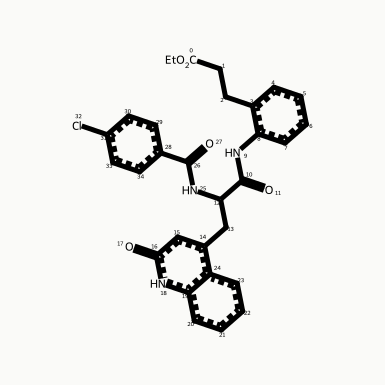 CCOC(=O)CCc1ccccc1NC(=O)C(Cc1cc(=O)[nH]c2ccccc12)NC(=O)c1ccc(Cl)cc1